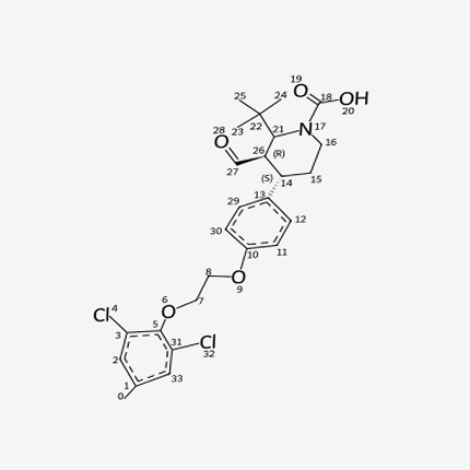 Cc1cc(Cl)c(OCCOc2ccc([C@H]3CCN(C(=O)O)C(C(C)(C)C)[C@@H]3C=O)cc2)c(Cl)c1